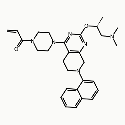 C=CC(=O)N1CCN(c2nc(O[C@H](C)CN(C)C)nc3c2CCN(c2cccc4ccccc24)C3)CC1